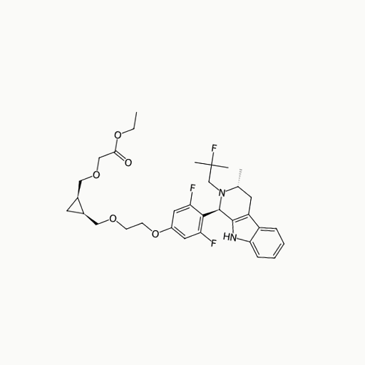 CCOC(=O)COC[C@@H]1C[C@@H]1COCCOc1cc(F)c([C@@H]2c3[nH]c4ccccc4c3C[C@@H](C)N2CC(C)(C)F)c(F)c1